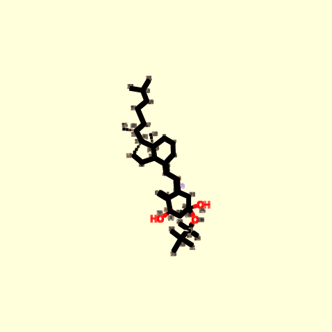 C=C1/C(=C\C=C2CCC[C@@]3(C)C2CC[C@@H]3[C@H](C)CCCC(C)C)C[C@](O)(O[Si](C)(C)C(C)(C)C)C[C@H]1O